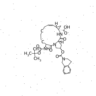 CC(C)(C)OC(=O)N[C@H]1CCCCCC=C[C@@H]2C[C@@]2(C(=O)O)NC(=O)[C@@H]2C[C@@H](OC(=O)N3CCc4ccccc4C3)CN2C1=O